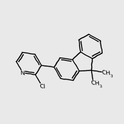 CC1(C)c2ccccc2-c2cc(-c3cccnc3Cl)ccc21